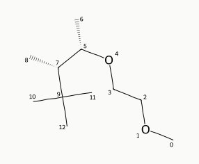 COCCO[C@@H](C)[C@@H](C)C(C)(C)C